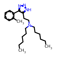 CCCCCCN(CCCCCC)CCc1[nH]nnc1-c1ccccc1C